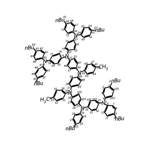 CCCCc1ccc(N(c2ccc(CCCC)cc2)c2ccc(N(c3ccc(CCCC)cc3)c3ccc(N(c4ccc(C)cc4)c4ccc(N(c5ccc(C)cc5)c5ccc(N(c6ccc(N(c7ccc(CCCC)cc7)c7ccc(CCCC)cc7)cc6)c6ccc(N(c7ccc(CCCC)cc7)c7ccc(CCCC)cc7)cc6)cc5)cc4)cc3)cc2)cc1